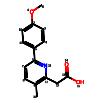 COc1ccc(-c2ccc(C)c(CC(=O)O)n2)cc1